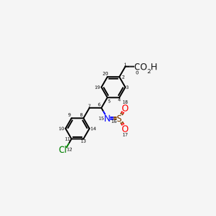 O=C(O)Cc1ccc(C(Cc2ccc(Cl)cc2)N=S(=O)=O)cc1